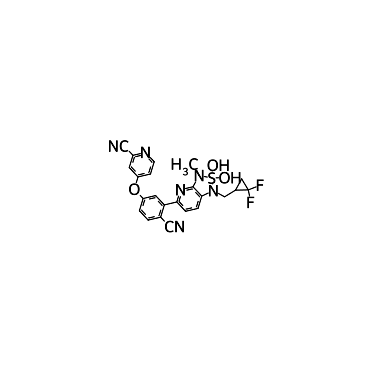 CN1c2nc(-c3cc(Oc4ccnc(C#N)c4)ccc3C#N)ccc2N(CC2CC2(F)F)S1(O)O